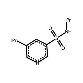 CC(C)NS(=O)(=O)c1cncc(C(C)C)c1